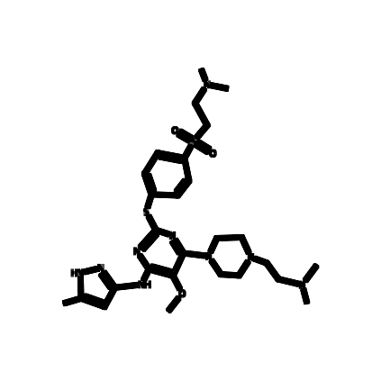 COc1c(Nc2cc(C)[nH]n2)nc(Sc2ccc(S(=O)(=O)CCN(C)C)cc2)nc1N1CCN(CCN(C)C)CC1